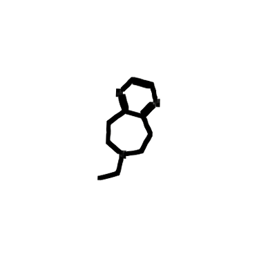 CCN1CCc2nccnc2CC1